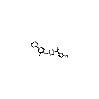 Cc1cc(N2CCOCC2)ccc1CN1CCN(C(=O)n2cc(Cl)cn2)CC1